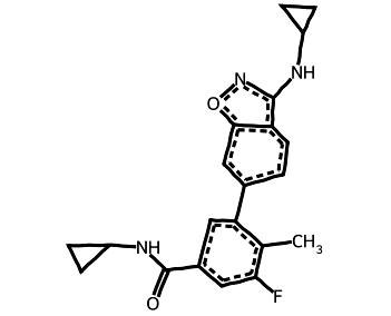 Cc1c(F)cc(C(=O)NC2CC2)cc1-c1ccc2c(NC3CC3)noc2c1